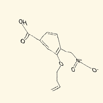 C=CCOc1cc(C(=O)O)ccc1C[N+](=O)[O-]